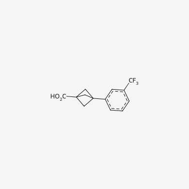 O=C(O)C12CC(c3cccc(C(F)(F)F)c3)(C1)C2